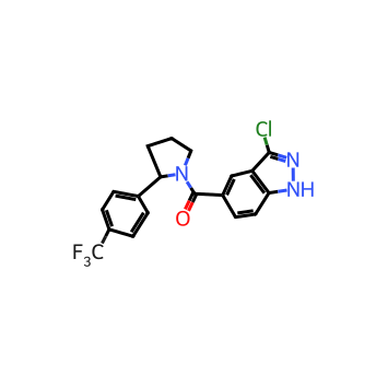 O=C(c1ccc2[nH]nc(Cl)c2c1)N1CCCC1c1ccc(C(F)(F)F)cc1